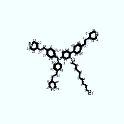 BrCCCCCCCCCOc1cc(N(c2ccc(/C=C/c3ccncc3)cc2)c2ccc(/C=C/c3ccncc3)cc2)ccc1-c1ccc(/C=C/c2ccncc2)cc1